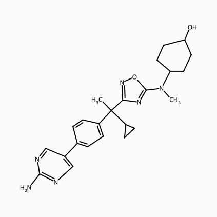 CN(c1nc(C(C)(c2ccc(-c3cnc(N)nc3)cc2)C2CC2)no1)C1CCC(O)CC1